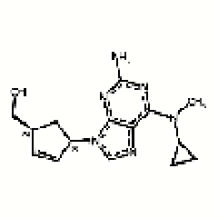 CN(c1nc(N)nc2c1ncn2[C@H]1C=C[C@@H](CO)C1)C1CC1